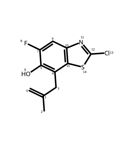 C=C(C)Cc1c(O)c(F)cc2nc(Cl)sc12